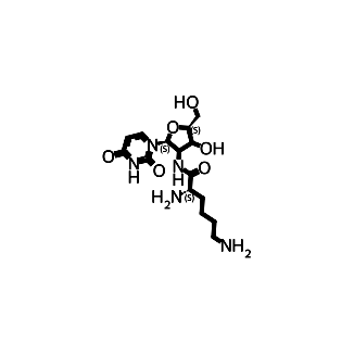 NCCCC[C@H](N)C(=O)NC1C(O)[C@H](CO)O[C@@H]1n1ccc(=O)[nH]c1=O